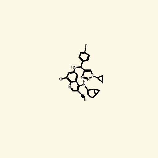 N#Cc1cnc2c(Cl)cc(NC(c3ccc(F)cc3)c3cn(C4CC4)nn3)cc2c1NC1CCC2CC21